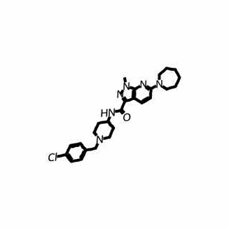 Cn1nc(C(=O)NC2CCN(Cc3ccc(Cl)cc3)CC2)c2ccc(N3CCCCCC3)nc21